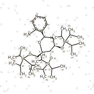 CC(C)[Si](OC[C@H]1O[C@@H](c2ccncc2N)C[C@@H](O[Si](C(C)C)(C(C)C)C(C)C)[C@@H]1O[Si](C(C)C)(C(C)C)C(C)C)(C(C)C)C(C)C